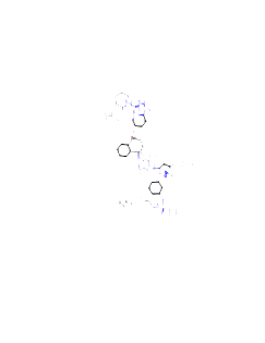 COCCN(C)Cc1cccc(-n2nc(C(C)(C)C)cc2NC(=O)N[C@H]2CC[C@@H](Oc3ccc4nnc(N5CCCCC5C)n4c3)c3ccccc32)c1